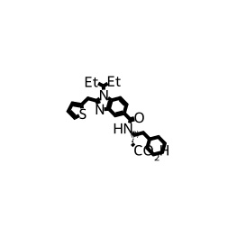 CCC(CC)n1c(Cc2cccs2)nc2cc(C(=O)N[C@@H](CC(=O)O)CC3CCCCC3)ccc21